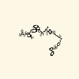 CN(CCN1CCC(OC(=O)Nc2ccccc2-c2ccccc2)CC1)C(=O)CCCCCNc1ccc(C(=O)N(CCCN(C)C(=O)CO[C@H]2Cc3ccccc3C23CCN(CC[C@@]2(c4ccc(F)cc4)CN(C(=O)c4cc(C(F)(F)F)cc(C(F)(F)F)c4)CO2)CC3)C2CC2)cc1